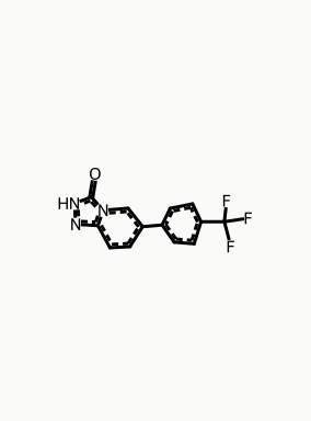 O=c1[nH]nc2ccc(-c3ccc(C(F)(F)F)cc3)cn12